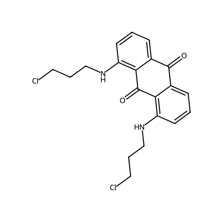 O=C1c2cccc(NCCCCl)c2C(=O)c2c(NCCCCl)cccc21